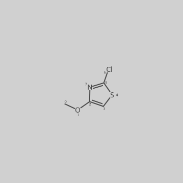 COc1csc(Cl)n1